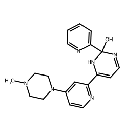 CN1CCN(c2ccnc(C3=CC=NC(O)(c4ccccn4)N3)c2)CC1